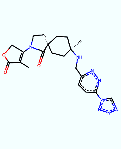 CC1=C(N2CC[C@]3(CC[C@](C)(NCc4ccc(-n5cnnn5)nn4)CC3)C2=O)COC1=O